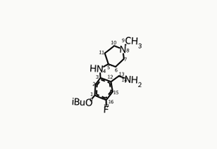 CC(C)COc1cc(NC2CCN(C)CC2)c(CN)cc1F